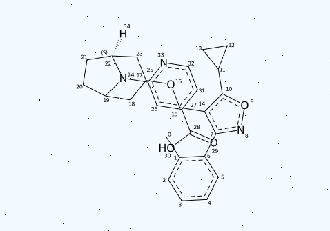 Cc1ccccc1-c1noc(C2CC2)c1COC1CC2CC[C@@H](C1)N2c1cc(C(=O)O)ccn1